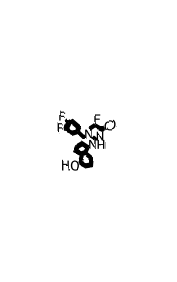 O=c1nc(Nc2cccc3c(O)cccc23)n(Cc2ccc(F)c(F)c2)cc1F